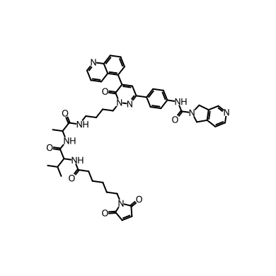 CC(NC(=O)C(NC(=O)CCCCCN1C(=O)C=CC1=O)C(C)C)C(=O)NCCCCn1nc(-c2ccc(NC(=O)N3Cc4ccncc4C3)cc2)cc(-c2cccc3ncccc23)c1=O